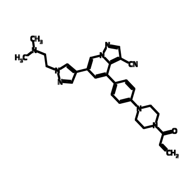 C=CC(=O)N1CCN(c2ccc(-c3cc(-c4cnn(CCN(C)C)c4)cn4ncc(C#N)c34)cc2)CC1